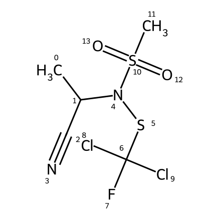 CC(C#N)N(SC(F)(Cl)Cl)S(C)(=O)=O